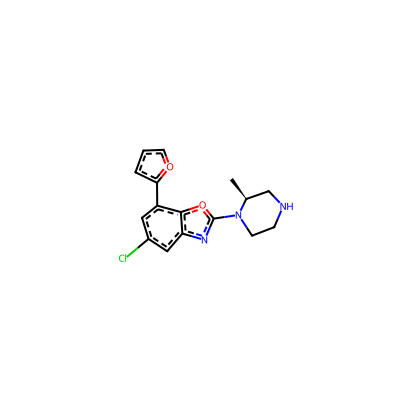 C[C@H]1CNCCN1c1nc2cc(Cl)cc(-c3ccco3)c2o1